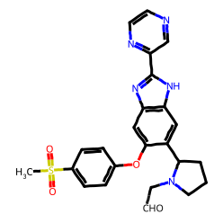 CS(=O)(=O)c1ccc(Oc2cc3nc(-c4cnccn4)[nH]c3cc2C2CCCN2CC=O)cc1